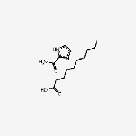 CCCCCCCCCC(=O)O.NC(=O)c1ncc[nH]1